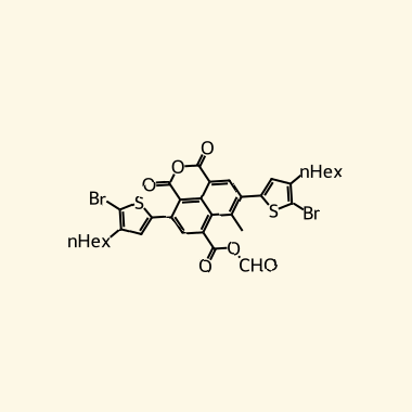 CCCCCCc1cc(-c2cc3c4c(c(-c5cc(CCCCCC)c(Br)s5)cc(C(=O)OC=O)c4c2C)C(=O)OC3=O)sc1Br